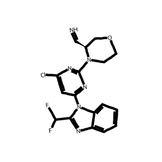 N=C[C@H]1COCCN1c1nc(Cl)cc(-n2c(C(F)F)nc3ccccc32)n1